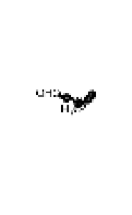 Cc1oc(-c2ccc3ccccc3c2)nc1C=Cc1ccc(C=CC=O)cc1